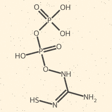 NC(=NS)NOP(=O)(O)OP(=O)(O)O